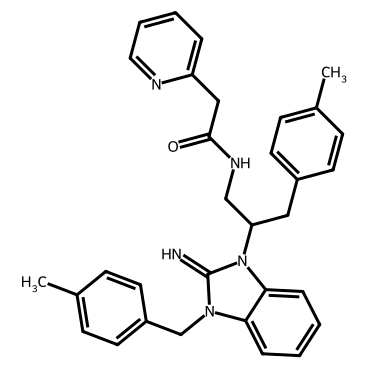 Cc1ccc(CC(CNC(=O)Cc2ccccn2)n2c(=N)n(Cc3ccc(C)cc3)c3ccccc32)cc1